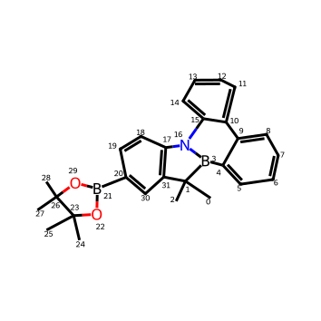 CC1(C)B2c3ccccc3-c3ccccc3N2c2ccc(B3OC(C)(C)C(C)(C)O3)cc21